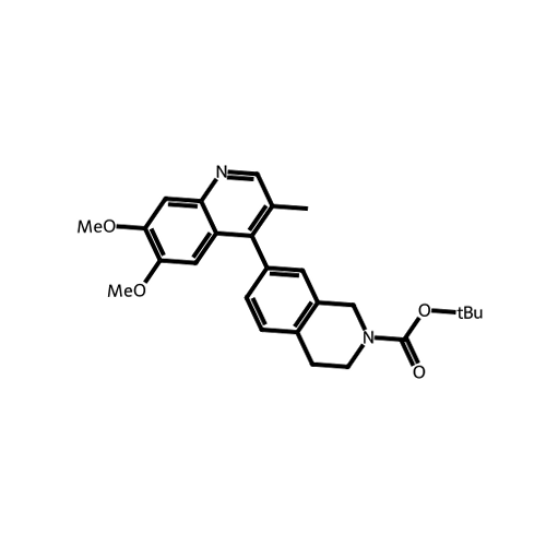 COc1cc2ncc(C)c(-c3ccc4c(c3)CN(C(=O)OC(C)(C)C)CC4)c2cc1OC